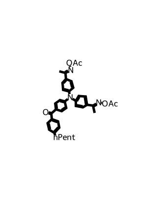 CCCCCc1ccc(C(=O)c2ccc(N(c3ccc(C(C)=NOC(C)=O)cc3)c3ccc(/C(C)=N/OC(C)=O)cc3)cc2)cc1